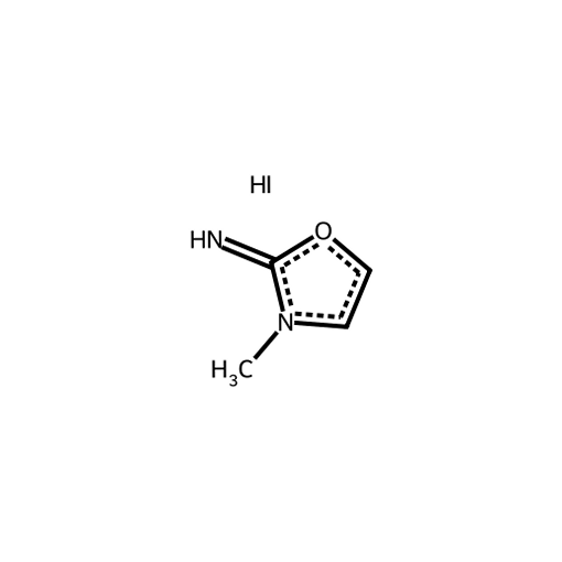 Cn1ccoc1=N.I